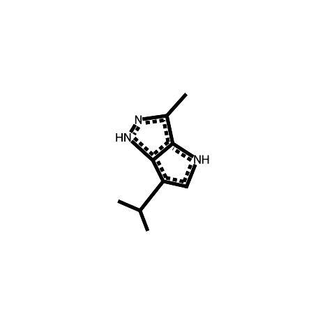 Cc1n[nH]c2c(C(C)C)c[nH]c12